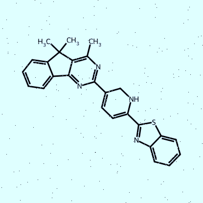 Cc1nc(C2=CC=C(c3nc4ccccc4s3)NC2)nc2c1C(C)(C)c1ccccc1-2